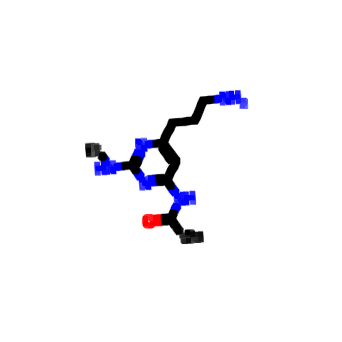 CCNc1nc(CCCN)cc(NC(=O)C(C)(C)C)n1